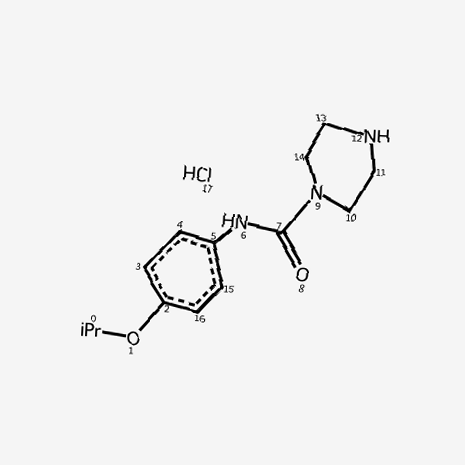 CC(C)Oc1ccc(NC(=O)N2CCNCC2)cc1.Cl